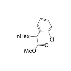 CCCCCCC(C(=O)OC)c1ccccc1Cl